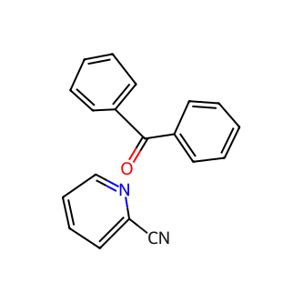 N#Cc1ccccn1.O=C(c1ccccc1)c1ccccc1